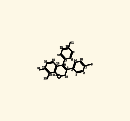 Cc1ccc(C2=C(c3ccc(C)cc3)c3ccc(C)c(C)c3OC2)cc1